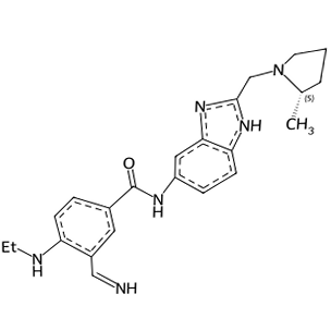 CCNc1ccc(C(=O)Nc2ccc3[nH]c(CN4CCC[C@@H]4C)nc3c2)cc1C=N